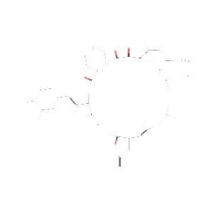 C=CCC1/C=C(\C)CC(C)CCC(OC)C2OC(O)(C(=O)C(=O)N3CCCCC3C(=O)OC(/C(C)=C/C3CCC(O)C(CO)C3)C(C)C(O)CC1=O)C(C)CC2OC